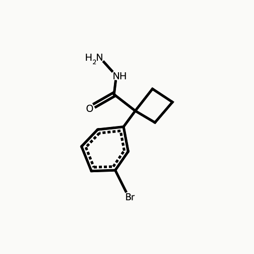 NNC(=O)C1(c2cccc(Br)c2)CCC1